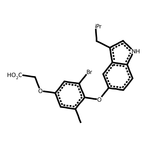 Cc1cc(OCC(=O)O)cc(Br)c1Oc1ccc2[nH]cc(CC(C)C)c2c1